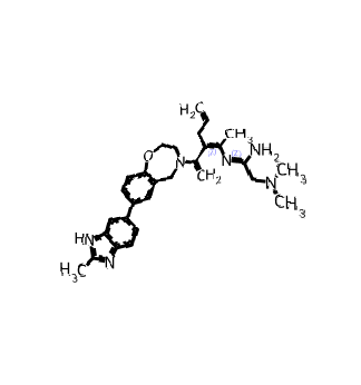 C=CC/C(C(=C)N1CCOc2ccc(-c3ccc4nc(C)[nH]c4c3)cc2C1)=C(C)/N=C(\N)CN(C)C